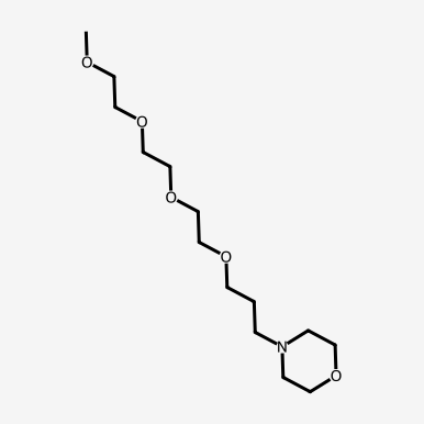 COCCOCCOCCOCCCN1CCOCC1